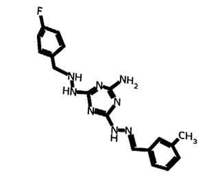 Cc1cccc(C=NNc2nc(N)nc(NNCc3ccc(F)cc3)n2)c1